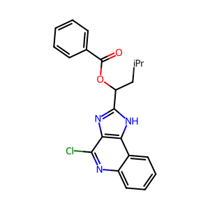 CC(C)CC(OC(=O)c1ccccc1)c1nc2c(Cl)nc3ccccc3c2[nH]1